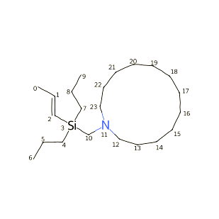 CC=C[Si](CCC)(CCC)CN1CCCCCCCCCCCC1